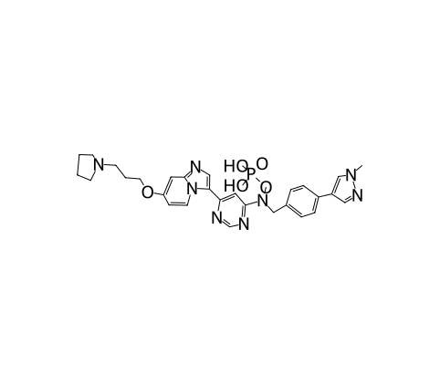 Cn1cc(-c2ccc(CN(OP(=O)(O)O)c3cc(-c4cnc5cc(OCCCN6CCCC6)ccn45)ncn3)cc2)cn1